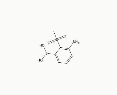 CS(=O)(=O)c1c(N)cccc1B(O)O